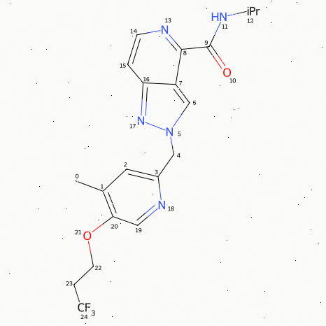 Cc1cc(Cn2cc3c(C(=O)NC(C)C)nccc3n2)ncc1OCCC(F)(F)F